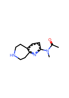 CC(=O)N(C)c1ccc2c(n1)CCNCC2